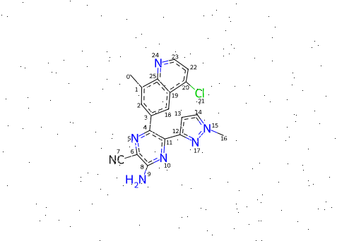 Cc1cc(-c2nc(C#N)c(N)nc2-c2ccn(C)n2)cc2c(Cl)ccnc12